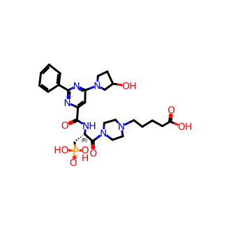 O=C(O)CCCCN1CCN(C(=O)[C@H](CP(=O)(O)O)NC(=O)c2cc(N3CCC(O)C3)nc(-c3ccccc3)n2)CC1